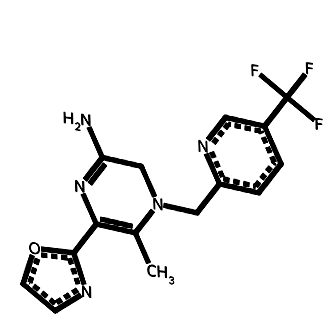 CC1=C(c2ncco2)N=C(N)CN1Cc1ccc(C(F)(F)F)cn1